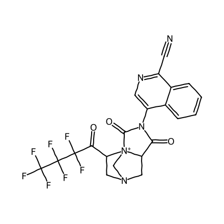 N#Cc1ncc(N2C(=O)C3CN4CC(C(=O)C(F)(F)C(F)(F)C(F)(F)F)[N+]3(C4)C2=O)c2ccccc12